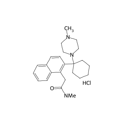 CNC(=O)Cc1c(C2(N3CCN(C)CC3)CCCCC2)ccc2ccccc12.Cl